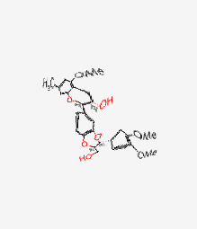 COc1ccc([C@H]2Oc3cc([C@H]4Oc5cc(C)cc(OC)c5C[C@@H]4O)ccc3O[C@@H]2CO)cc1OC